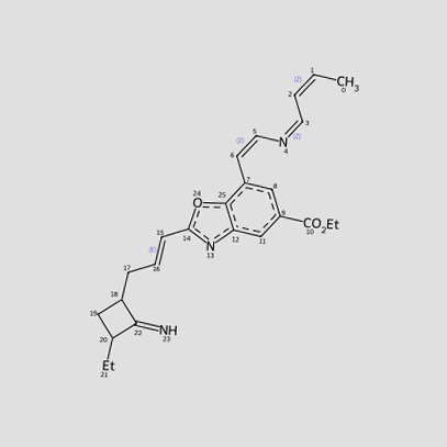 C\C=C/C=N\C=C/c1cc(C(=O)OCC)cc2nc(/C=C/CC3CC(CC)C3=N)oc12